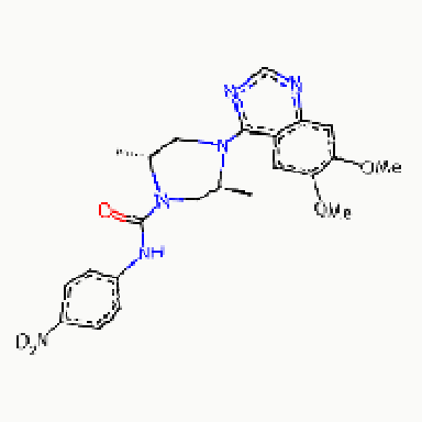 COc1cc2ncnc(N3C[C@@H](C)N(C(=O)Nc4ccc([N+](=O)[O-])cc4)C[C@@H]3C)c2cc1OC